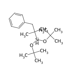 CC(C)(C)O[SiH](OC(C)(C)C)C(C)(C)Cc1ccccc1